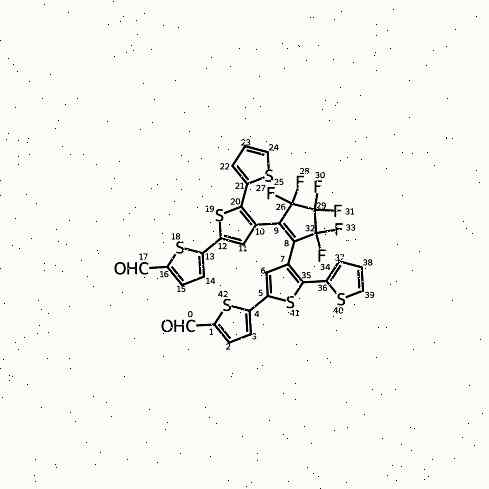 O=Cc1ccc(-c2cc(C3=C(c4cc(-c5ccc(C=O)s5)sc4-c4cccs4)C(F)(F)C(F)(F)C3(F)F)c(-c3cccs3)s2)s1